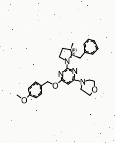 COc1ccc(COc2cc(N3CCOCC3)nc(N3CC[C@@H](C)[C@H]3Cc3ccccc3)n2)cc1